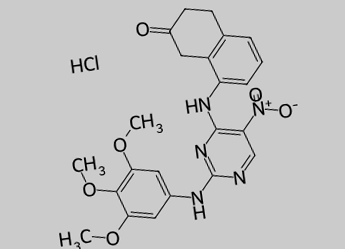 COc1cc(Nc2ncc([N+](=O)[O-])c(Nc3cccc4c3CC(=O)CC4)n2)cc(OC)c1OC.Cl